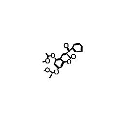 COC(C)Oc1cc(OC(C)OC)c2cc(C(=O)c3ccccc3)c(=O)oc2c1